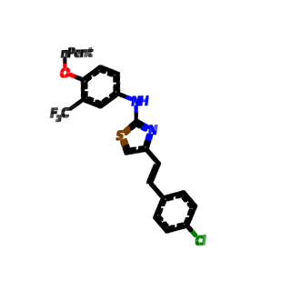 CCCCCOc1ccc(Nc2nc(C=Cc3ccc(Cl)cc3)cs2)cc1C(F)(F)F